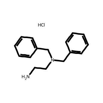 Cl.NCCN(Cc1ccccc1)Cc1ccccc1